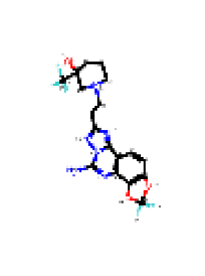 Nc1nc2c3c(ccc2c2nc(CCN4CCCC(O)(C(F)(F)F)C4)nn12)OC(F)(F)O3